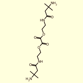 CC(C)(N)CC(=O)NCCOC(=O)C(=O)OCCNC(=O)CC(C)(C)N